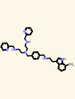 Cc1cccc2c(CCNCc3ccc(CN(CCNCc4ccccn4)CCNCc4ccccn4)cc3)c[nH]c12